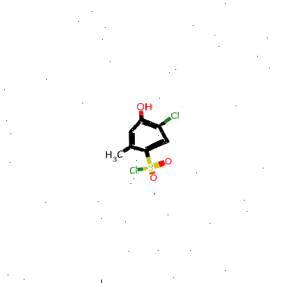 Cc1cc(O)c(Cl)cc1S(=O)(=O)Cl